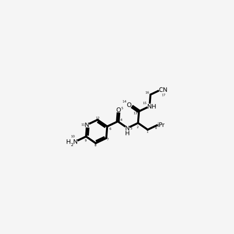 CC(C)CC(NC(=O)c1ccc(N)nc1)C(=O)NCC#N